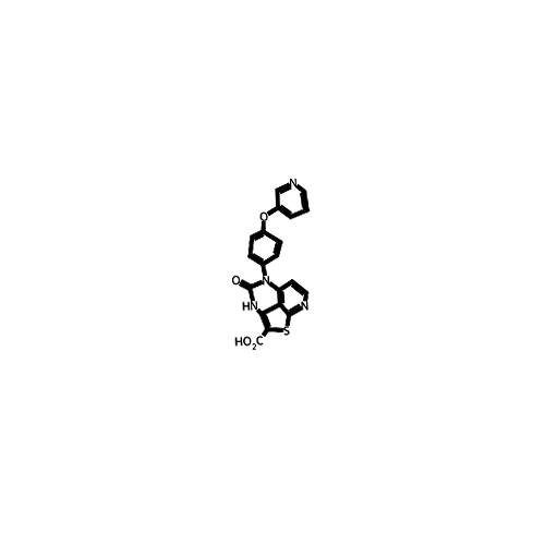 O=C(O)c1sc2nccc3c2c1NC(=O)N3c1ccc(Oc2cccnc2)cc1